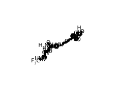 Cn1c(=O)n(C2CCC(=O)NC2=O)c2cccc(CCCOCCCNC[C@H]3CC[C@H](n4cc(NC(=O)c5coc(-c6ccnc(NCC(F)(F)F)c6)n5)c(C(N)=O)n4)CC3)c21